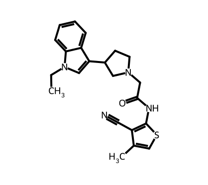 CCn1cc(C2CCN(CC(=O)Nc3scc(C)c3C#N)C2)c2ccccc21